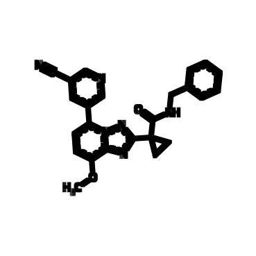 COc1ccc(-c2cncc(C#N)c2)n2nc(C3(C(=O)NCc4ccccc4)CC3)nc12